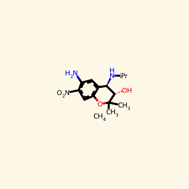 C.CC(C)N[C@@H]1c2cc(N)c([N+](=O)[O-])cc2OC(C)(C)[C@H]1O